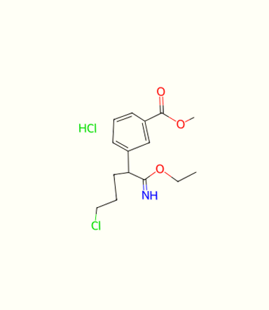 CCOC(=N)C(CCCCl)c1cccc(C(=O)OC)c1.Cl